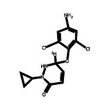 [2H]C1(Oc2c(Cl)cc(N)cc2Cl)C=CC(=O)N(C2CC2)N1